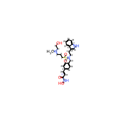 CN(CCO)CCCS(=O)(=O)N(CCc1c[nH]c2ccccc12)Cc1ccc(/C=C/C(=O)NO)cc1